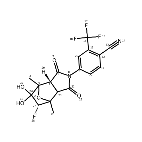 CC12OC(C)([C@@H]3C(=O)N(c4ccc(C#N)c(C(F)(F)F)c4)C(=O)C31)C(O)(O)[C@H]2F